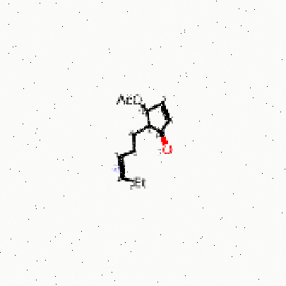 CC/C=C\CCC1C(=O)C=CC1OC(C)=O